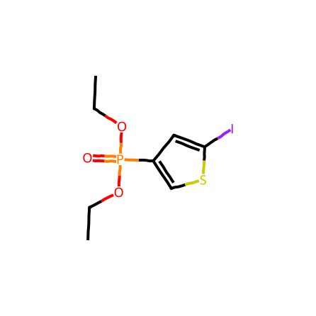 CCOP(=O)(OCC)c1csc(I)c1